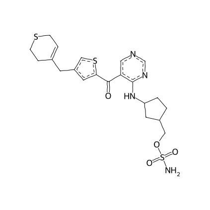 NS(=O)(=O)OCC1CCC(Nc2ncncc2C(=O)c2cc(CC3=CCSCC3)cs2)C1